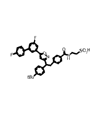 CC(C)(C)c1ccc(C(Cc2ccc(C(=O)NCCS(=O)(=O)O)cc2)c2cc(-c3cc(F)cc(-c4ccc(F)cc4)c3)on2)cc1